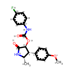 COc1ccc([C@@H]2[C@H](C)NC(=O)[C@H]2OC(=O)Nc2ccc(F)cc2)cc1